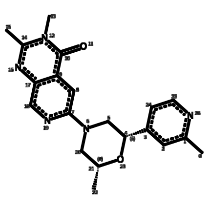 Cc1cc([C@H]2CN(c3cc4c(=O)n(C)c(C)nc4cn3)C[C@@H](C)O2)ccn1